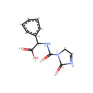 O=C(O)C(NC(=O)N1CC=NC1=O)c1ccccc1